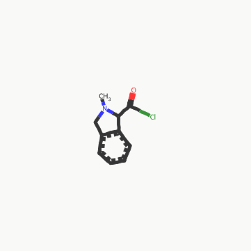 CN1Cc2ccccc2C1C(=O)Cl